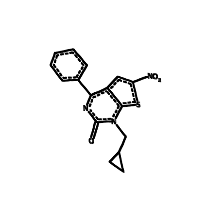 O=c1nc(-c2ccccc2)c2cc([N+](=O)[O-])sc2n1CC1CC1